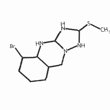 CSC1NC2NC3C(Br)CCCC3CN2N1